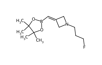 CC1(C)OB(C=C2CN(CCCF)C2)OC1(C)C